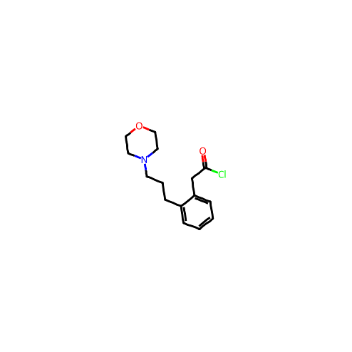 O=C(Cl)Cc1ccccc1CCCN1CCOCC1